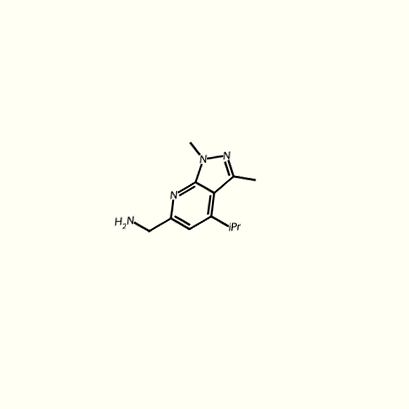 Cc1nn(C)c2nc(CN)cc(C(C)C)c12